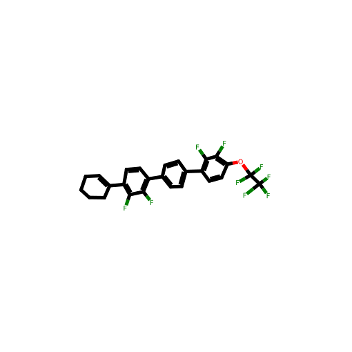 Fc1c(OC(F)(F)C(F)(F)F)ccc(-c2ccc(-c3ccc(C4=CCCCC4)c(F)c3F)cc2)c1F